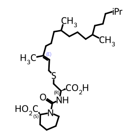 C/C(=C\CSC[C@H](NC(=O)N1CCCC[C@H]1C(=O)O)C(=O)O)CCCC(C)CCCC(C)CCCC(C)C